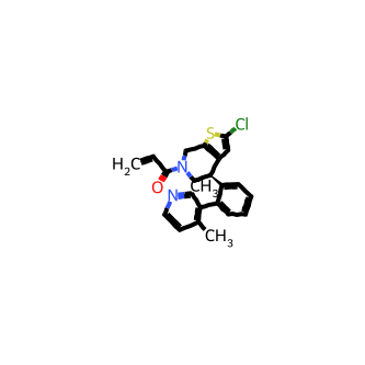 C=CC(=O)N1Cc2sc(Cl)cc2[C@@H](c2ccccc2-c2c(C)ccnc2C)C1